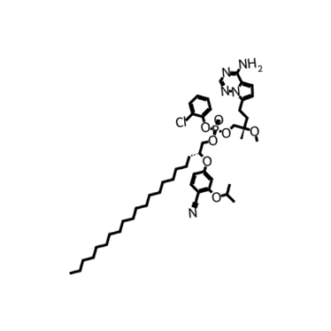 CCCCCCCCCCCCCCCCCCC[C@H](COP(=O)(OC[C@](C)(CCc1ccc2c(N)ncnn12)OC)Oc1ccccc1Cl)Oc1ccc(C#N)c(OC(C)C)c1